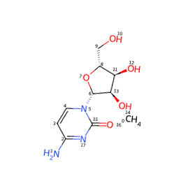 C.Nc1ccn([C@@H]2O[C@H](CO)[C@@H](O)[C@H]2O)c(=O)n1